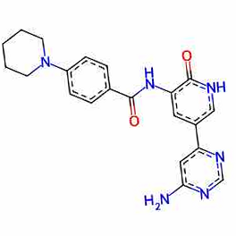 Nc1cc(-c2c[nH]c(=O)c(NC(=O)c3ccc(N4CCCCC4)cc3)c2)ncn1